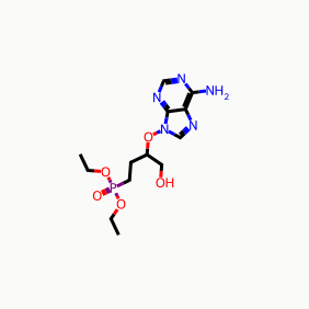 CCOP(=O)(CCC(CO)On1cnc2c(N)ncnc21)OCC